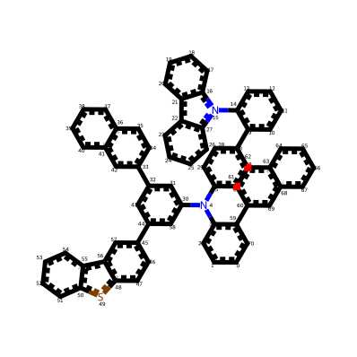 c1ccc(N(c2ccc(-c3ccccc3-n3c4ccccc4c4ccccc43)cc2)c2cc(-c3ccc4ccccc4c3)cc(-c3ccc4sc5ccccc5c4c3)c2)c(-c2ccc3ccccc3c2)c1